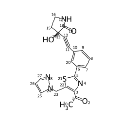 CC(=O)c1nc(-c2cccc(C#C[C@]3(O)CCNC3=O)c2)sc1Cn1cccn1